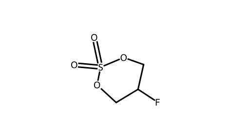 O=S1(=O)OCC(F)CO1